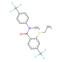 CCSc1cc(C(F)(F)F)ccc1C(=O)N(C)c1ccc(C(F)(F)F)cc1